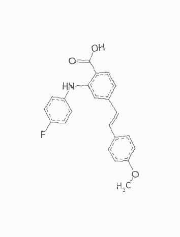 COc1ccc(C=Cc2ccc(C(=O)O)c(Nc3ccc(F)cc3)c2)cc1